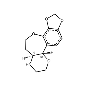 c1cc2c(c3c1OCO3)OCC[C@@H]1NCCO[C@@H]21